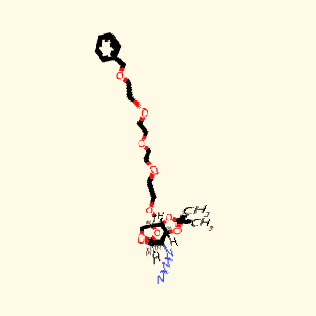 CC1(C)O[C@@H]2[C@@H](N=[N+]=[N-])[C@H]3OC[C@](COCCOCCOCCOCCOCc4ccccc4)(O3)[C@@H]2O1